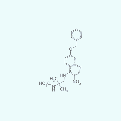 CC(C)(CNc1c([N+](=O)[O-])cnc2cc(OCc3ccccc3)ccc12)NC(=O)O